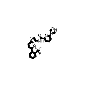 O=C(Nc1cnc2ccc(-c3ccccc3C(F)(F)F)nn12)c1cccc(-n2cnnc2)n1